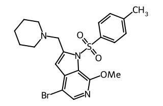 COc1ncc(Br)c2cc(CN3CCCCC3)n(S(=O)(=O)c3ccc(C)cc3)c12